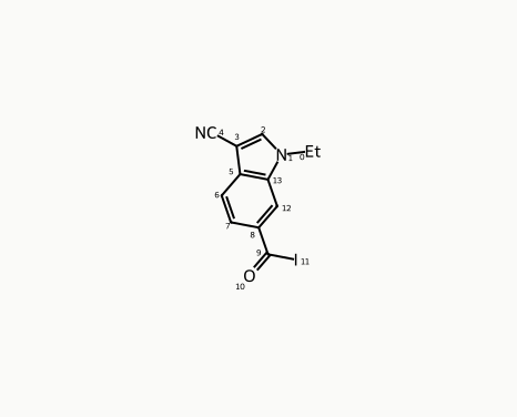 CCn1cc(C#N)c2ccc(C(=O)I)cc21